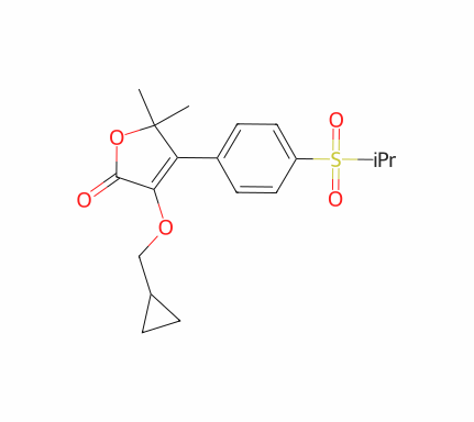 CC(C)S(=O)(=O)c1ccc(C2=C(OCC3CC3)C(=O)OC2(C)C)cc1